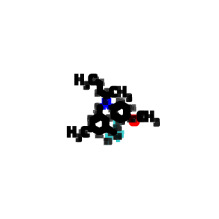 CCCC(C)N(CC1=CC(C)CC(C(F)(F)F)=C1)c1ccc(OC)cc1